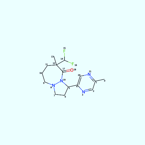 Cc1cnc(C2CCN3CCCC(C)(C(F)F)C(=O)N23)cn1